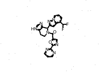 O=C(c1cnc(-c2ncccn2)o1)N1CCc2[nH]cnc2C1c1cc2c(C(F)F)cccn2n1